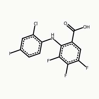 O=C(O)c1cc(F)c(F)c(F)c1Nc1ccc(I)cc1Cl